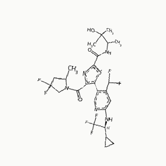 CC1CC(F)(F)CN1C(=O)c1nc(C(=O)NC(C)C(C)(C)O)sc1-c1cnc(N[C@@H](C2CC2)C(F)(F)F)cc1C(F)F